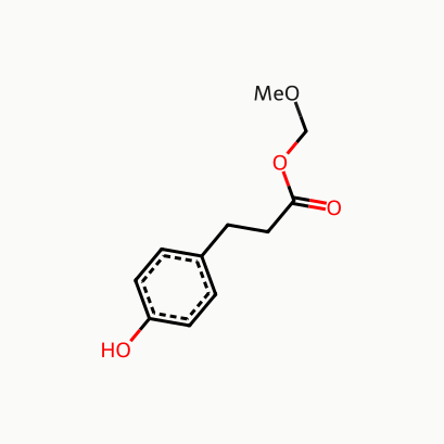 COCOC(=O)CCc1ccc(O)cc1